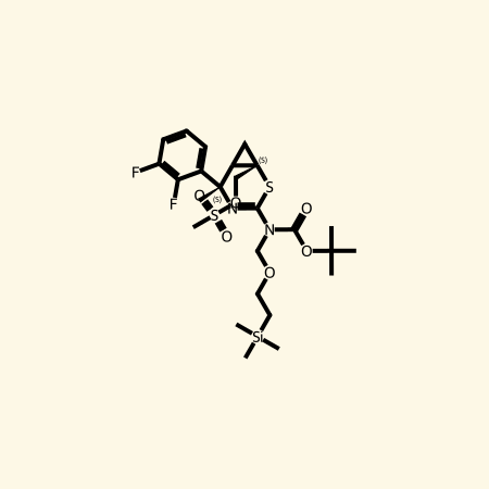 CC(C)(C)OC(=O)N(COCC[Si](C)(C)C)C1=N[C@](C)(c2cccc(F)c2F)C2C[C@]2(COS(C)(=O)=O)S1